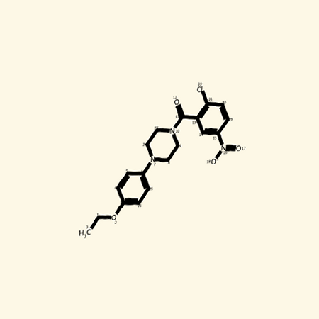 CCOc1ccc(N2CCN(C(=O)c3cc([N+](=O)[O-])ccc3Cl)CC2)cc1